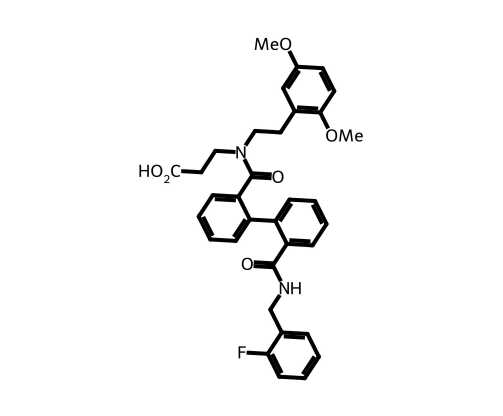 COc1ccc(OC)c(CCN(CCC(=O)O)C(=O)c2ccccc2-c2ccccc2C(=O)NCc2ccccc2F)c1